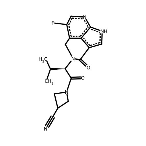 CC(C)[C@H](C(=O)N1CC(C#N)C1)N1Cc2c(F)cnc3[nH]cc(c23)C1=O